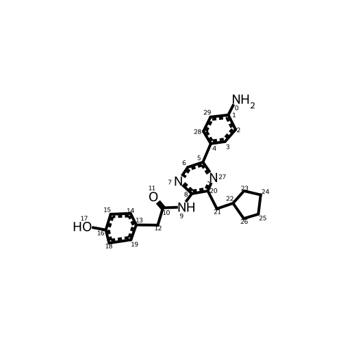 Nc1ccc(-c2cnc(NC(=O)Cc3ccc(O)cc3)c(CC3CCCC3)n2)cc1